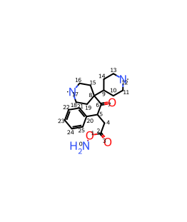 NOC(=O)CC(C(=O)C1(C2CC[N]CC2)CC[N]CC1)c1ccccc1